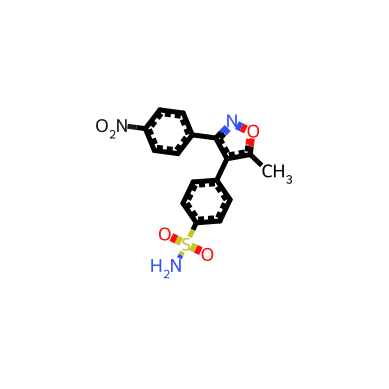 Cc1onc(-c2ccc([N+](=O)[O-])cc2)c1-c1ccc(S(N)(=O)=O)cc1